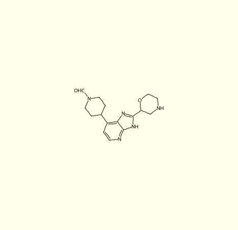 O=CN1CCC(c2ccnc3[nH]c(C4CNCCO4)nc23)CC1